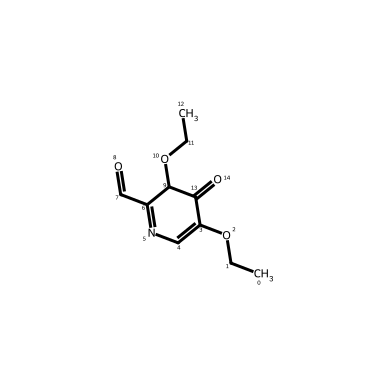 CCOC1=CN=C(C=O)C(OCC)C1=O